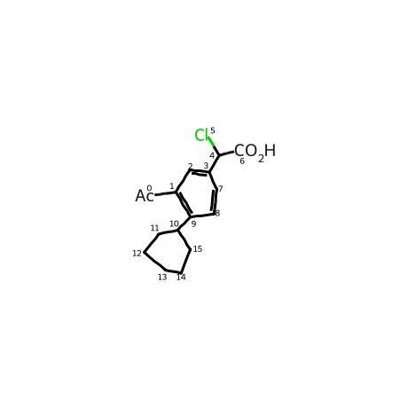 CC(=O)c1cc(C(Cl)C(=O)O)ccc1C1CCCCC1